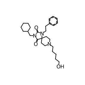 O=C1N(CC2CCCCC2)C(=O)C2(CCN(CCCCCO)CC2)N1CCc1ccccc1